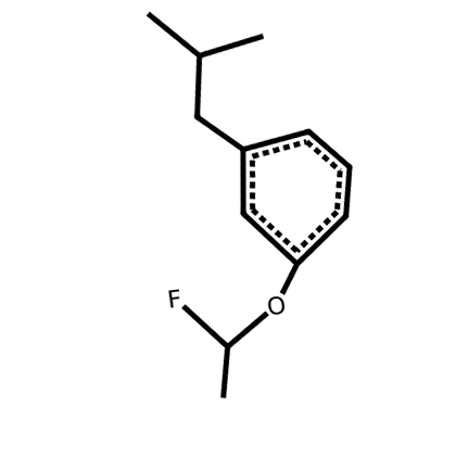 CC(C)Cc1cccc(OC(C)F)c1